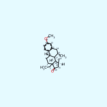 CCC12CC[C@@H]3c4ccc(OC)cc4C[C@@H](C)[C@H]3[C@]13C[C@H]3CC2=O